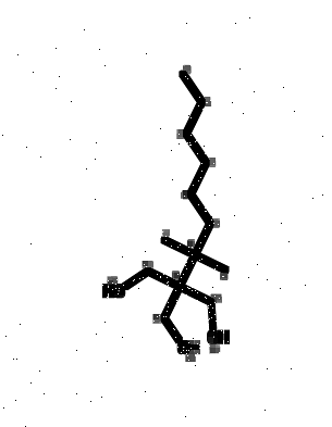 CCCCCCC(C)(C)C(CO)(CO)CO